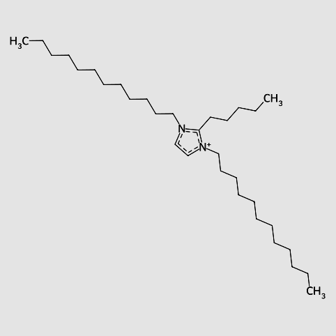 CCCCCCCCCCCCn1cc[n+](CCCCCCCCCCCC)c1CCCCC